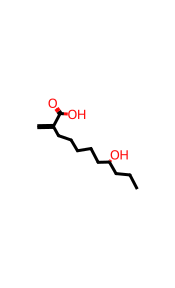 C=C(CCCCCC(O)CCC)C(=O)O